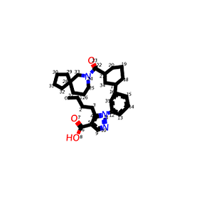 CCCCc1c(C(=O)O)cnn1-c1cccc(C2CCCC(C(=O)N3CCCC4(CCCC4)C3)C2)c1